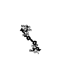 CC[C@H](C)[C@H](C)C(=O)N1CC2(CC2)C[C@H]1c1nc2ccc(C#Cc3ccc(-c4cnc([C@@H]5CC6(CC6)CN5C(=O)[C@@H](NC(=O)OC)C(C)C)[nH]4)cc3)cc2[nH]1